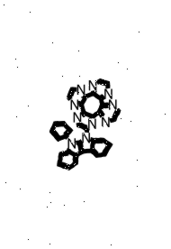 c1ccc(-n2c3ccccc3c3c4ccccc4n(-c4cnc5c(n4)-c4nccnc4-c4nccnc4-c4nccnc4-5)c32)cc1